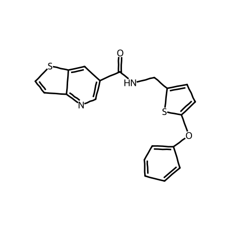 O=C(NCc1ccc(Oc2ccccc2)s1)c1cnc2ccsc2c1